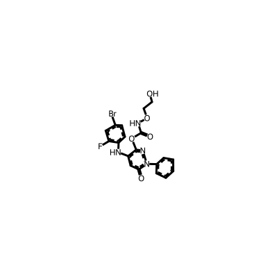 O=C(NOCCO)Oc1nn(-c2ccccc2)c(=O)cc1Nc1ccc(Br)cc1F